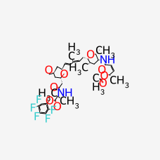 CC(=O)O[C@@H](C)/C=C\C(=O)N[C@@H]1C[C@H](C)[C@H](C/C=C(C)/C=C/[C@@H]2C[C@]3(CO3)C[C@@H](CC(=O)NC(C)(C)C(=O)Oc3c(F)c(F)c(F)c(F)c3F)O2)O[C@@H]1C